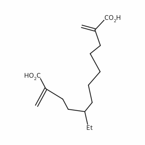 C=C(CCCCCC(CC)CCC(=C)C(=O)O)C(=O)O